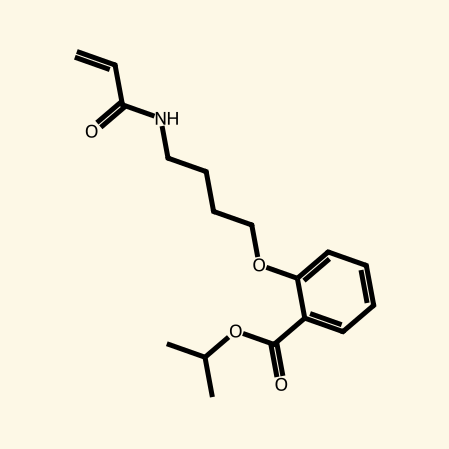 C=CC(=O)NCCCCOc1ccccc1C(=O)OC(C)C